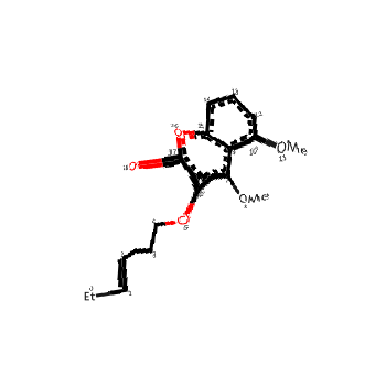 CCC=CCCOc1c(OC)c2c(OC)cccc2oc1=O